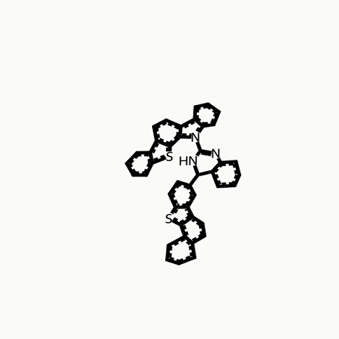 c1ccc2c(c1)N=C(n1c3ccccc3c3ccc4c5ccccc5sc4c31)NC2c1ccc2sc3c4ccccc4ccc3c2c1